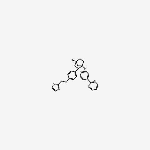 c1cnc(-c2ccc([C@]3(c4ccc(OCc5nccs5)cc4)C[C@@H]4CC[C@H]3C4)cc2)nc1